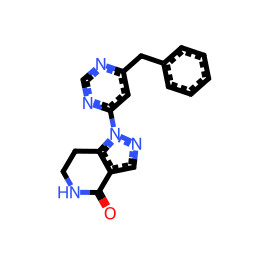 O=C1NCCc2c1cnn2-c1cc(Cc2ccccc2)ncn1